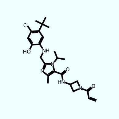 C=CC(=O)N1CC(NC(=O)c2c(C)nc(CNc3cc(C(C)(C)C)c(Cl)cc3O)n2C(C)C)C1